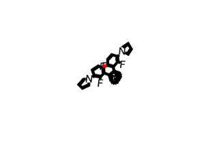 Fc1ccc(-n2cccc2)c(F)c1[C]12[CH]3[CH]4[CH]5[C]1(c1c(F)ccc(-n6cccc6)c1F)[Ti]43521678[CH]2[CH]1[CH]6[CH]7[CH]28